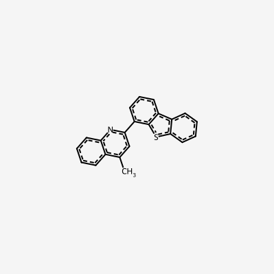 Cc1cc(-c2cccc3c2sc2ccccc23)nc2ccccc12